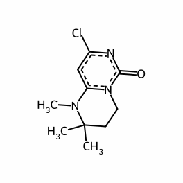 CN1c2cc(Cl)nc(=O)n2CCC1(C)C